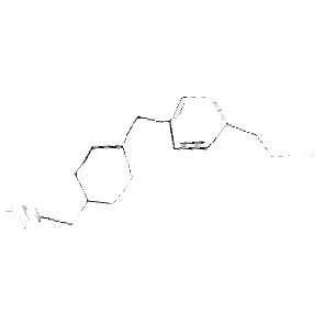 NCC1CCC(Cc2ccc(CCO)cc2)CC1